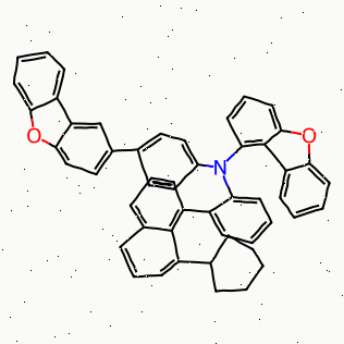 c1ccc(N(c2ccc(-c3ccc4oc5ccccc5c4c3)cc2)c2cccc3oc4ccccc4c23)c(-c2cccc3cccc(C4CCCCC4)c23)c1